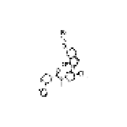 Cc1ccc(NC(=O)c2ccnc(-c3cccs3)c2)cc1-n1ccc2ccc(OCCBr)cc2c1=O